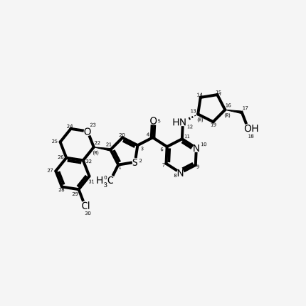 Cc1sc(C(=O)c2cncnc2N[C@@H]2C[CH][C@@H](CO)C2)cc1[C@@H]1OCCc2ccc(Cl)cc21